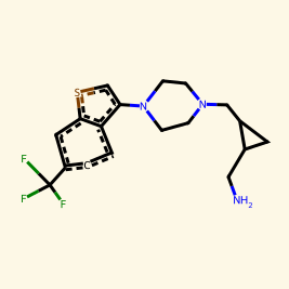 NCC1CC1CN1CCN(c2csc3cc(C(F)(F)F)ccc23)CC1